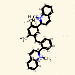 Cc1cc(C)c(-c2ccc3ccccc3[n+]2C)cc1Cc1ccccc1-c1ccc2ccccc2[n+]1C